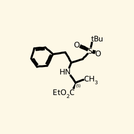 CCOC(=O)[C@H](C)NC(Cc1ccccc1)CS(=O)(=O)C(C)(C)C